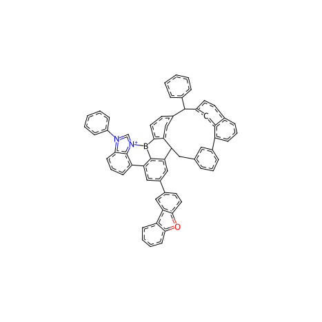 c1ccc(C2c3ccc4c(c3)C(Cc3cccc(c3)-c3cccc5ccc2cc35)c2cc(-c3ccc5oc6ccccc6c5c3)cc3c2B4[n+]2cn(-c4ccccc4)c4cccc-3c42)cc1